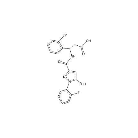 O=C(O)C[C@H](NC(=O)c1cc(O)n(-c2ccccc2F)n1)c1ccccc1Br